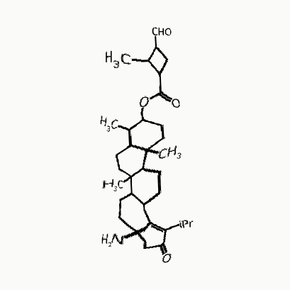 CC(C)C1=C2C3CCC4C(C)(CCC5C(C)C(OC(=O)C6CC(C=O)C6C)CCC54C)C3CCC2(N)CC1=O